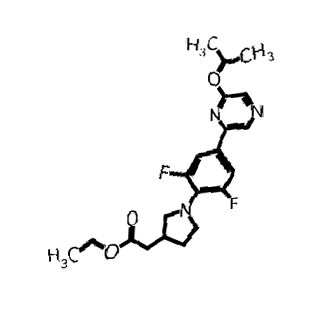 CCOC(=O)CC1CCN(c2c(F)cc(-c3cncc(OC(C)C)n3)cc2F)C1